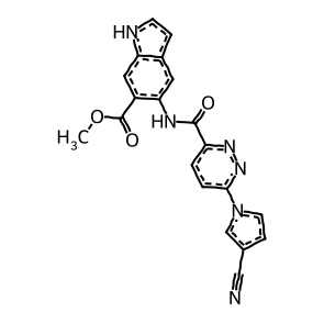 COC(=O)c1cc2[nH]ccc2cc1NC(=O)c1ccc(-n2ccc(C#N)c2)nn1